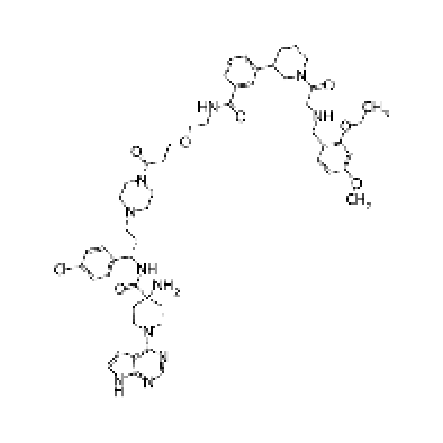 CCOc1cc(OC)ccc1CNCC(=O)N1CCCC(c2cccc(C(=O)NCCOCCC(=O)N3CCN(CC[C@H](NC(=O)C4(N)CCN(c5ncnc6[nH]ccc56)CC4)c4ccc(Cl)cc4)CC3)c2)C1